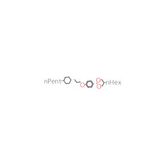 CCCCCC[C@H]1CO[C@H](c2ccc(OCCC[C@H]3CC[C@H](CCCCC)CC3)cc2)OC1